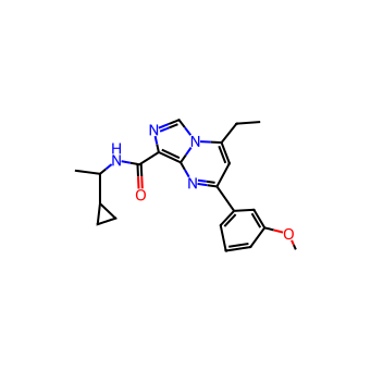 CCc1cc(-c2cccc(OC)c2)nc2c(C(=O)NC(C)C3CC3)ncn12